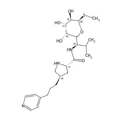 CS[C@H]1OC([C@H](NC(=O)[C@@H]2C[C@@H](CCCc3ccncc3)CN2)C(C)C)[C@H](O)[C@H](O)[C@H]1O